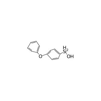 O[SiH2]c1ccc(Oc2ccccc2)cc1